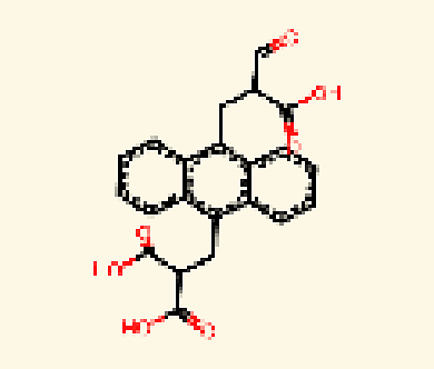 O=CC(Cc1c2ccccc2c(CC(C(=O)O)C(=O)O)c2ccccc12)C(=O)O